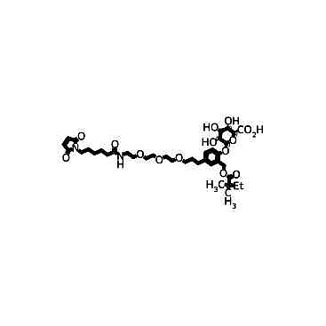 CCC(C)(C)C(=O)OCc1cc(CCCOCCOCCOCCNC(=O)CCCCCN2C(=O)C=CC2=O)ccc1O[C@@H]1O[C@H](C(=O)O)[C@@H](O)[C@H](O)[C@H]1O